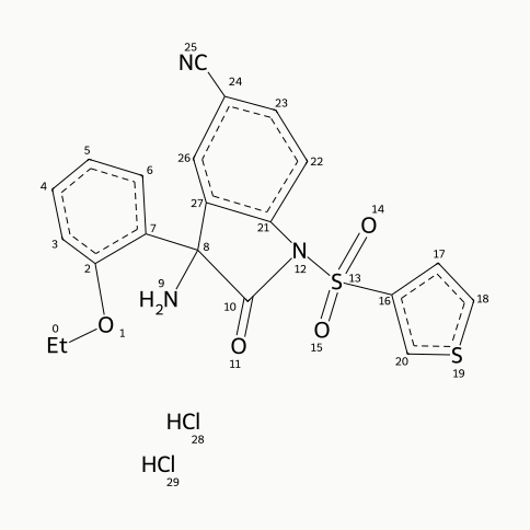 CCOc1ccccc1C1(N)C(=O)N(S(=O)(=O)c2ccsc2)c2ccc(C#N)cc21.Cl.Cl